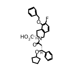 O=C(O)[C@@H]1Cc2c(ccc(F)c2OCc2ccccc2)CN1C(=O)C[C@@H](OC1CCCC1)c1ccccc1